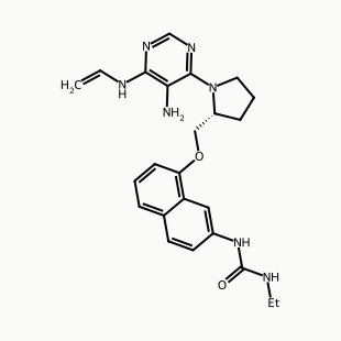 C=CNc1ncnc(N2CCC[C@@H]2COc2cccc3ccc(NC(=O)NCC)cc23)c1N